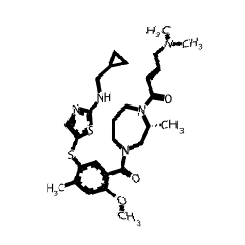 COc1cc(C)c(Sc2cnc(NCC3CC3)s2)cc1C(=O)N1CCCN(C(=O)/C=C/CN(C)C)[C@H](C)C1